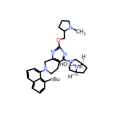 CCCCc1cccc2cccc(N3CCc4c(nc(OCC5CCCN5C)nc4N4C[C@H]5CC[C@@H](C4)N5C(=O)O)C3)c12